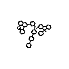 CC1(c2ccccc2)c2ccccc2-c2ccc(N(c3ccc(-c4ccc(-c5ccccc5)cc4)cc3)c3cccc(-c4cc5c6c(cccc6c4)Oc4ccccc4-5)c3)cc21